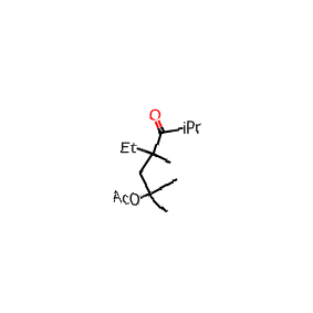 CCC(C)(CC(C)(C)OC(C)=O)C(=O)C(C)C